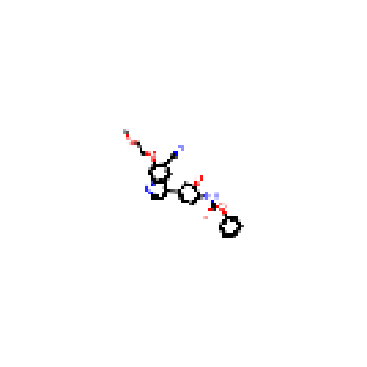 COCCOc1cc2nccc(C3=CC=C(NC(=O)Oc4ccccc4)C(=O)C3)c2cc1C#N